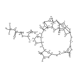 C=C1CC2CCC34CC5OC6C(O3)[C@H]3OC(CCC3O[C@H]6C5O4)CC(=O)CC3C(CC4OC(CCC1O2)CC(C)C4=C)O[C@H](CC(O)CNC(=O)OC(C)(C)C)[C@@H]3OC